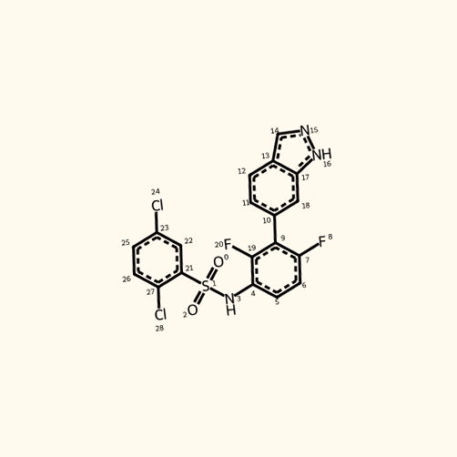 O=S(=O)(Nc1ccc(F)c(-c2ccc3cn[nH]c3c2)c1F)c1cc(Cl)ccc1Cl